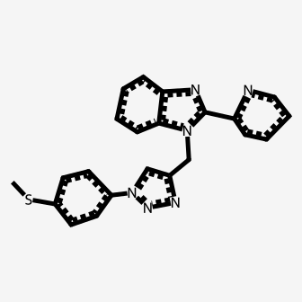 CSc1ccc(-n2cc(Cn3c(-c4ccccn4)nc4ccccc43)nn2)cc1